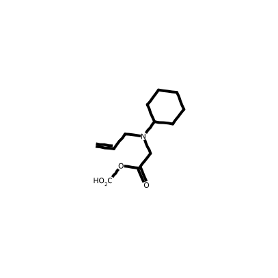 C=CCN(CC(=O)OC(=O)O)C1CCCCC1